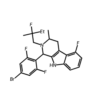 CCC(C)(F)CN1C(C)Cc2c([nH]c3cccc(F)c23)C1c1c(F)cc(Br)cc1F